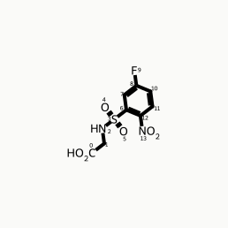 O=C(O)CNS(=O)(=O)c1cc(F)ccc1[N+](=O)[O-]